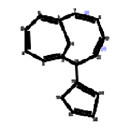 C1=CC=C2CC(=C1)/C=C\C=C/C2C1=CC=CC1